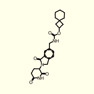 O=C1CCC(N2Cc3ccc(CNC(=O)OC4CC5(CCCCC5)C4)cc3C2=O)C(=O)N1